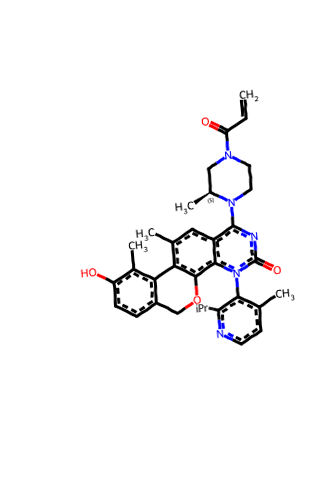 C=CC(=O)N1CCN(c2nc(=O)n(-c3c(C)ccnc3C(C)C)c3c4c(c(C)cc23)-c2c(ccc(O)c2C)CO4)[C@@H](C)C1